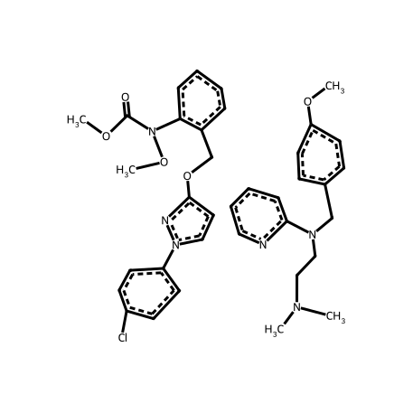 COC(=O)N(OC)c1ccccc1COc1ccn(-c2ccc(Cl)cc2)n1.COc1ccc(CN(CCN(C)C)c2ccccn2)cc1